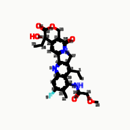 CCc1c2c(nc3cc(F)c(C)c(NC(=O)COC)c13)-c1cc3c(c(=O)n1C2)COC(=O)[C@]3(O)CC